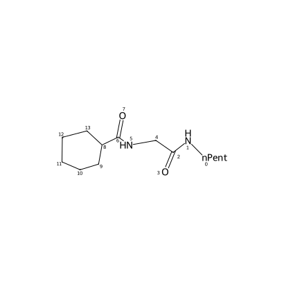 CCCCCNC(=O)CNC(=O)C1CCCCC1